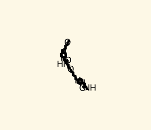 CNC(=O)CN1CCN(CCCCCOCCNC(=O)CN2CCN(CCCCOC)CC2)CC1